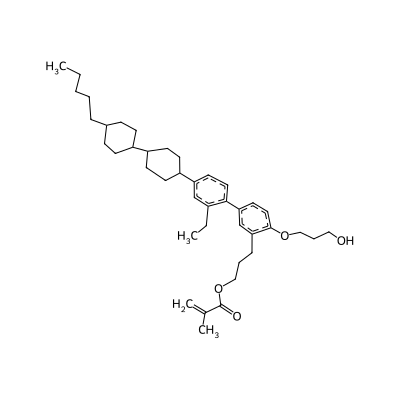 C=C(C)C(=O)OCCCc1cc(-c2ccc(C3CCC(C4CCC(CCCCC)CC4)CC3)cc2CC)ccc1OCCCO